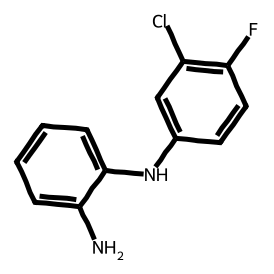 Nc1ccccc1Nc1ccc(F)c(Cl)c1